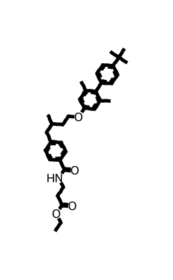 CCOC(=O)CCNC(=O)c1ccc(CC(C)CCOc2cc(C)c(-c3ccc(C(C)(C)C)cc3)c(C)c2)cc1